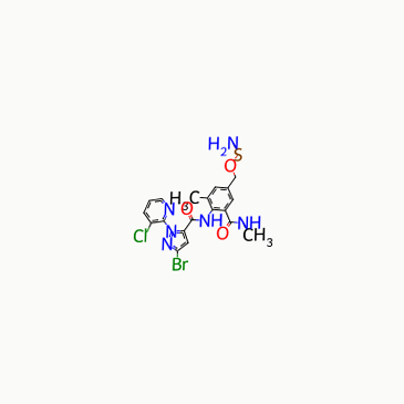 CNC(=O)c1cc(COSN)cc(C)c1NC(=O)c1cc(Br)nn1-c1ncccc1Cl